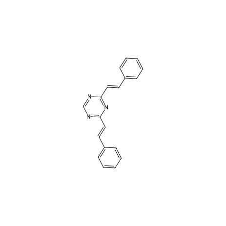 C(=Cc1ncnc(C=Cc2ccccc2)n1)c1ccccc1